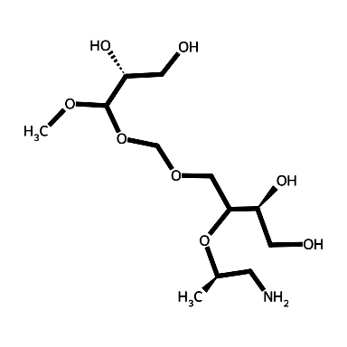 COC(OCOCC(O[C@H](C)CN)[C@@H](O)CO)[C@H](O)CO